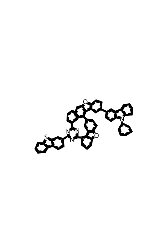 c1ccc(-c2nc(-c3ccc4c(c3)sc3ccccc34)nc(-c3cccc4oc5ccc(-c6cccc7oc8ccc(-c9ccc%10c(c9)c9ccccc9n%10-c9ccccc9)cc8c67)cc5c34)n2)cc1